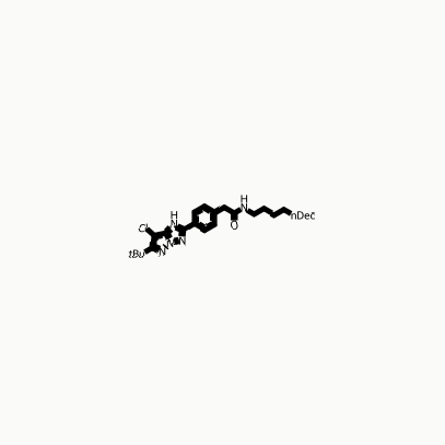 CCCCCCCCCCCCCCNC(=O)Cc1ccc(-c2nn3nc(C(C)(C)C)c(Cl)c3[nH]2)cc1